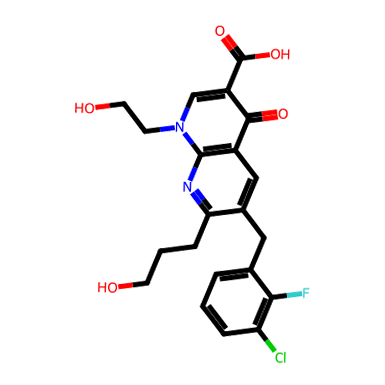 O=C(O)c1cn(CCO)c2nc(CCCO)c(Cc3cccc(Cl)c3F)cc2c1=O